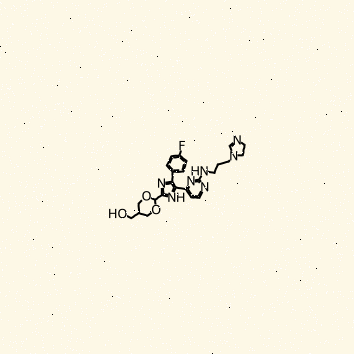 OCC1COC(c2nc(-c3ccc(F)cc3)c(-c3ccnc(NCCCN4C=NCC4)n3)[nH]2)OC1